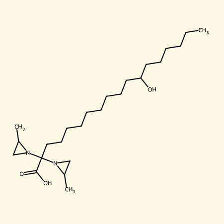 CCCCCCC(O)CCCCCCCCCC(C(=O)O)(N1CC1C)N1CC1C